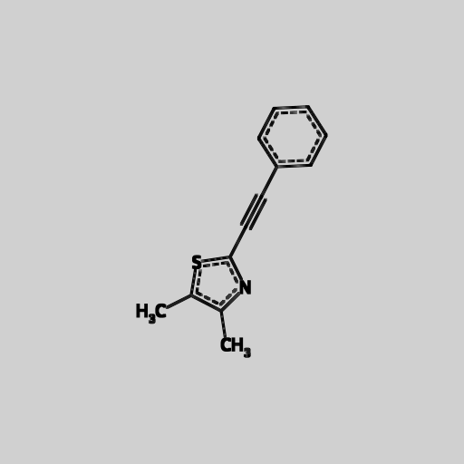 Cc1nc(C#Cc2ccccc2)sc1C